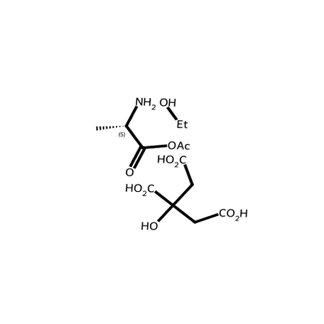 CC(=O)OC(=O)[C@H](C)N.CCO.O=C(O)CC(O)(CC(=O)O)C(=O)O